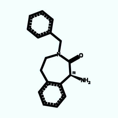 N[C@@H]1C(=O)N(Cc2ccccc2)CCc2ccccc21